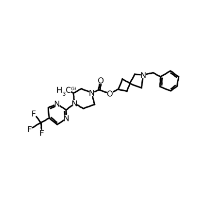 C[C@H]1CN(C(=O)OC2CC3(C2)CN(Cc2ccccc2)C3)CCN1c1ncc(C(F)(F)F)cn1